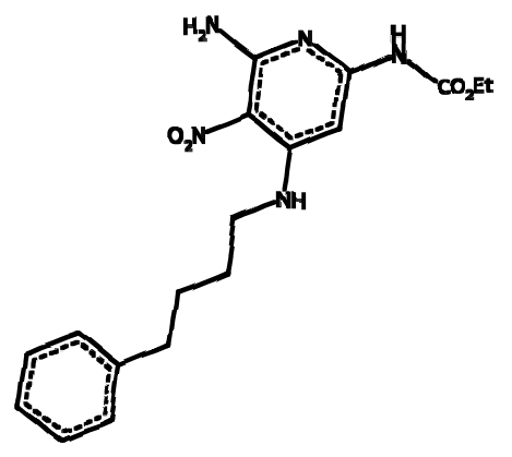 CCOC(=O)Nc1cc(NCCCCc2ccccc2)c([N+](=O)[O-])c(N)n1